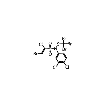 O=S(=O)(C(Cl)=CBr)N(SC(Br)(Br)Br)c1ccc(Cl)c(Cl)c1